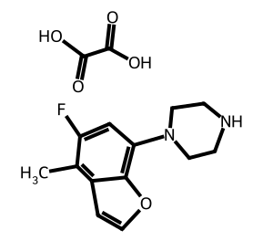 Cc1c(F)cc(N2CCNCC2)c2occc12.O=C(O)C(=O)O